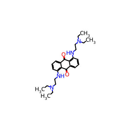 CCN(CC)CCNc1cccc2c1C(=O)c1cccc(NCCN(CC)CC)c1C2=O